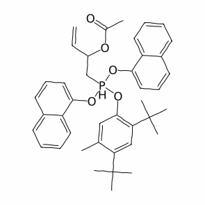 C=CC(C[PH](Oc1cc(C)c(C(C)(C)C)cc1C(C)(C)C)(Oc1cccc2ccccc12)Oc1cccc2ccccc12)OC(C)=O